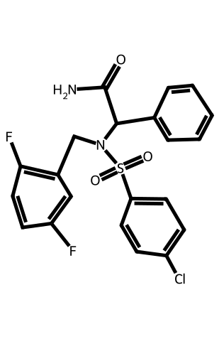 NC(=O)C(c1ccccc1)N(Cc1cc(F)ccc1F)S(=O)(=O)c1ccc(Cl)cc1